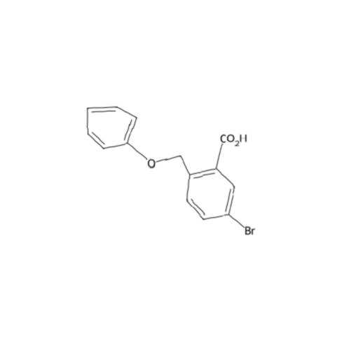 O=C(O)c1cc(Br)ccc1COc1ccccc1